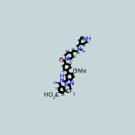 COc1cc2nc(C)nc(N[C@H](C)c3cc(C(=O)O)cc(C(F)(F)F)c3)c2cc1C1CCC(C(=O)N2CCC(CCN(C)CC3CCNCC3)CC2)CC1